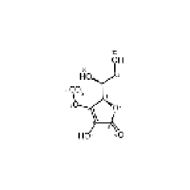 O=C(O)OC1=C(O)C(=O)O[C@@H]1[C@@H](O)CO